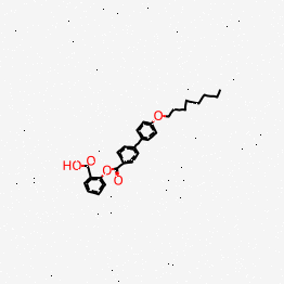 CCCCCCCCOc1ccc(-c2ccc(C(=O)Oc3ccccc3C(=O)O)cc2)cc1